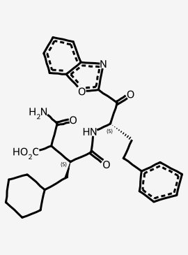 NC(=O)C(C(=O)O)[C@H](CC1CCCCC1)C(=O)N[C@@H](CCc1ccccc1)C(=O)c1nc2ccccc2o1